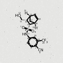 N#Cc1ccc(NS(=O)(=O)[C@@H]2[C@H](CO)[C@@H]3C=C[C@H]2C3)cc1C(F)(F)F